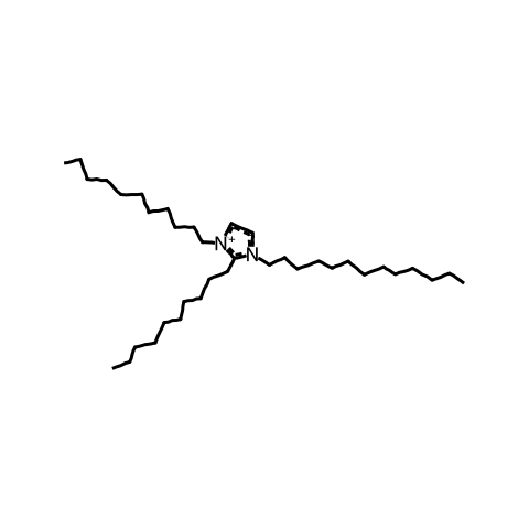 CCCCCCCCCCCCCn1cc[n+](CCCCCCCCCCC)c1CCCCCCCCCC